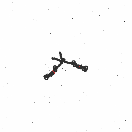 C=CC(=O)OCC1CC2C3CC(COC(=O)CCCCCCCC4C(CCCCCCCC(=O)OCC5CC6CC5C5CC(COC(=O)C(=C)C)CC65)CCC(CCCCCC)C4CCCCCCCC)C(C3)C2C1